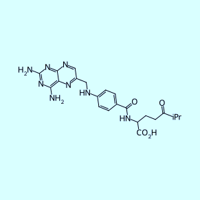 CC(C)C(=O)CCC(NC(=O)c1ccc(NCc2cnc3nc(N)nc(N)c3n2)cc1)C(=O)O